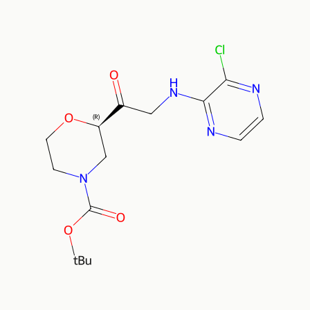 CC(C)(C)OC(=O)N1CCO[C@@H](C(=O)CNc2nccnc2Cl)C1